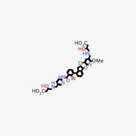 COc1nc(O[C@H]2CCc3c(-c4cccc(C(=O)Nc5ccc(CNC[C@@H](O)CC(=O)O)cn5)c4Br)cccc32)c(Cl)cc1CNC[C@@H](O)CC(=O)O